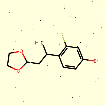 CC(CC1OCCO1)c1ccc(Br)cc1F